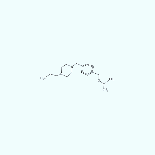 CCCN1CCN(Cc2ccc(COC(C)C)cc2)CC1